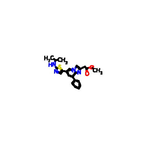 COC(=O)Cc1cn2cc(-c3cnc(NC(C)C)s3)cc(-c3ccccc3)c2n1